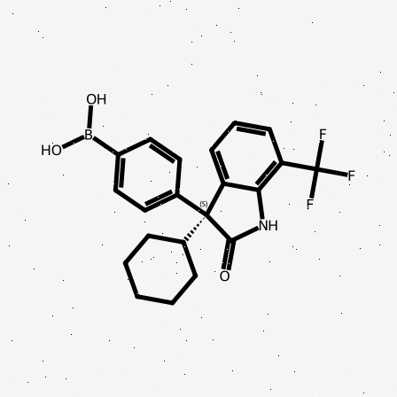 O=C1Nc2c(C(F)(F)F)cccc2[C@@]1(c1ccc(B(O)O)cc1)C1CCCCC1